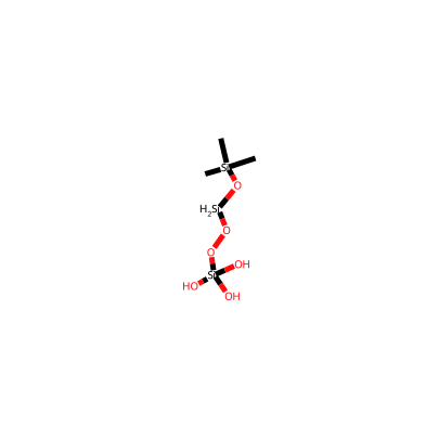 C[Si](C)(C)O[SiH2]OO[Si](O)(O)O